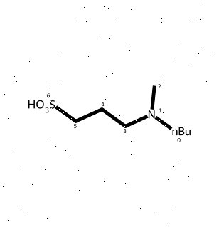 CCCCN(C)CCCS(=O)(=O)O